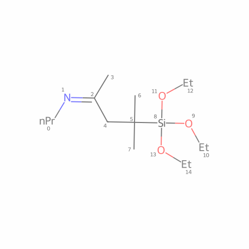 CCCN=C(C)CC(C)(C)[Si](OCC)(OCC)OCC